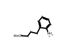 COCCCc1ccccc1N